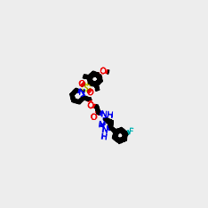 COc1cc(C)c(S(=O)(=O)N2CCCCC2COCC(=O)Nc2cc(-c3cccc(F)c3)[nH]n2)c(C)c1